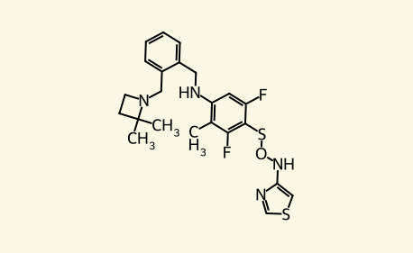 Cc1c(NCc2ccccc2CN2CCC2(C)C)cc(F)c(SONc2cscn2)c1F